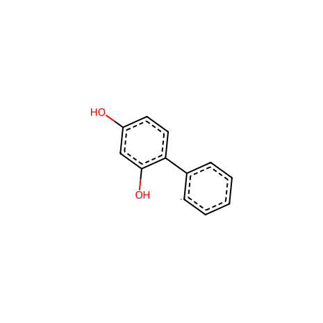 Oc1ccc(-c2[c]cccc2)c(O)c1